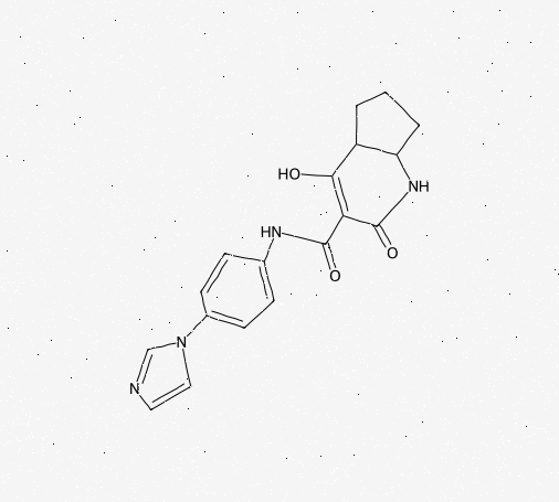 O=C(Nc1ccc(-n2ccnc2)cc1)C1=C(O)C2CCCC2NC1=O